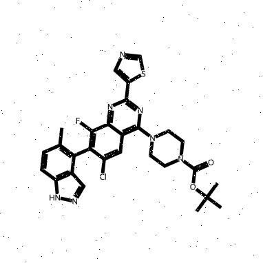 Cc1ccc2[nH]ncc2c1-c1c(Cl)cc2c(N3CCN(C(=O)OC(C)(C)C)CC3)nc(-c3cncs3)nc2c1F